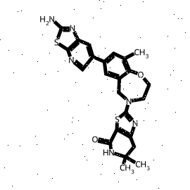 Cc1cc(-c2cnc3sc(N)nc3c2)cc2c1OCCN(c1nc3c(s1)C(=O)NC(C)(C)C3)C2